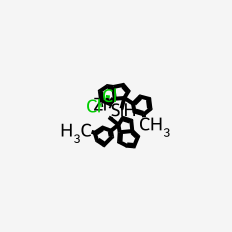 Cc1cccc(C2(C[SiH](CC3(c4cccc(C)c4)C=Cc4ccccc43)[Zr]([Cl])[Cl])C=Cc3ccccc32)c1